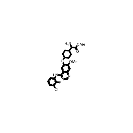 COC(=O)C(N)C1CCC(Oc2cc3c(Nc4cccc(Cl)c4F)ncnc3cc2OC)CC1